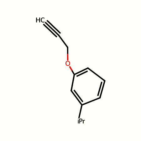 C#CCOc1cccc(C(C)C)c1